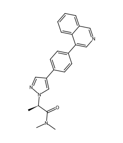 C[C@H](C(=O)N(C)C)n1cc(-c2ccc(-c3cncc4ccccc34)cc2)cn1